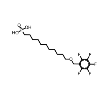 O=P(O)(O)CCCCCCCCCCCOCc1c(F)c(F)c(F)c(F)c1F